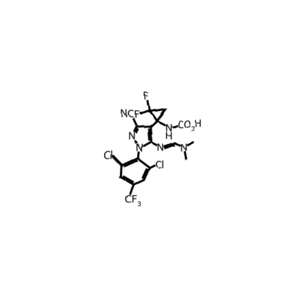 CN(C)/C=N/c1c(C2(NC(=O)O)CC2(F)F)c(C#N)nn1-c1c(Cl)cc(C(F)(F)F)cc1Cl